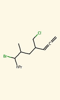 C=C=CC(CCl)CC(C)C(Br)CCC